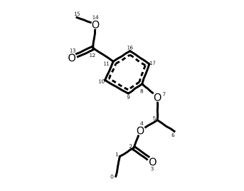 CCC(=O)OC(C)Oc1ccc(C(=O)OC)cc1